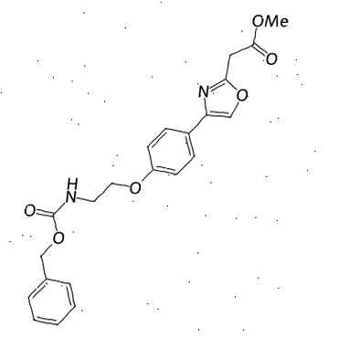 COC(=O)Cc1nc(-c2ccc(OCCNC(=O)OCc3ccccc3)cc2)co1